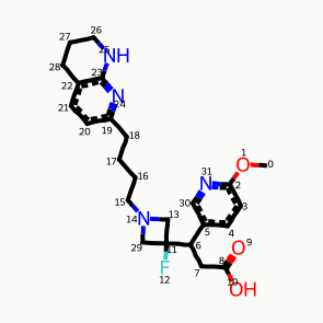 COc1ccc(C(CC(=O)O)C2(F)CN(CCCCc3ccc4c(n3)NCCC4)C2)cn1